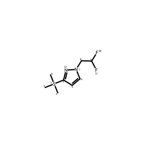 CS(C)(C)c1ccn(CC(F)F)n1